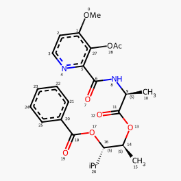 COc1ccnc(C(=O)N[C@@H](C)C(=O)O[C@@H](C)[C@@H](OC(=O)c2ccccc2)C(C)C)c1OC(C)=O